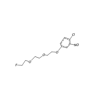 O=Nc1cc(OCCOCCOCCF)ccc1Cl